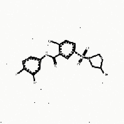 O=C(Nc1ccc(F)c(Br)c1)c1cc(S(=O)(=O)N2CCC(O)C2)ccc1Cl